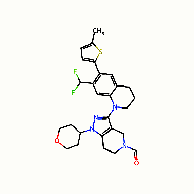 Cc1ccc(-c2cc3c(cc2C(F)F)N(c2nn(C4CCOCC4)c4c2CN(C=O)CC4)CCC3)s1